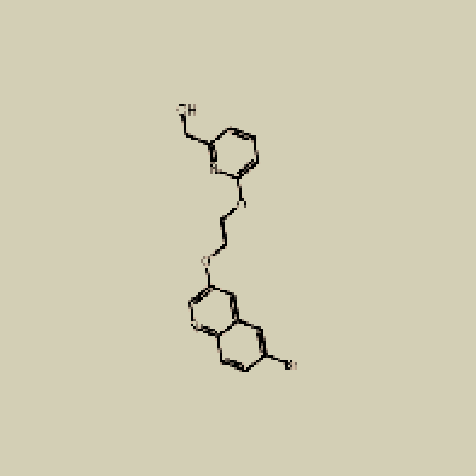 OCc1cccc(OCCOc2cnc3ccc(Br)cc3c2)n1